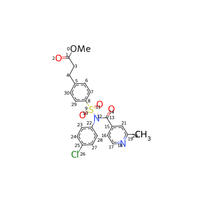 COC(=O)CCc1ccc(S(=O)(=O)N(C(=O)c2ccnc(C)c2)c2ccc(Cl)cc2)cc1